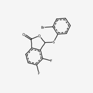 O=C1OC(Sc2ccccc2Br)c2c1ccc(F)c2F